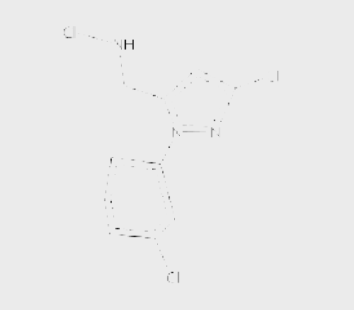 FC(F)(F)c1cc(CNCl)n(-c2cccc(Cl)c2)n1